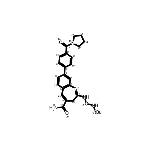 CC(C)(C)NONC1=Nc2cc(-c3ccc(C(=O)N4CCCC4)cc3)ccc2C=C(C(N)=O)C1